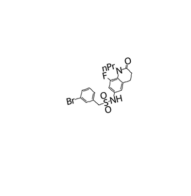 CCCN1C(=O)CCc2cc(NS(=O)(=O)Cc3cccc(Br)c3)cc(F)c21